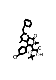 C=C(/C=C(/C)c1c(-c2ccc(Cl)cc2)c(C(OC(C)(C)C)C(=O)O)n(C)c(=O)c1C)Cc1ccccc1